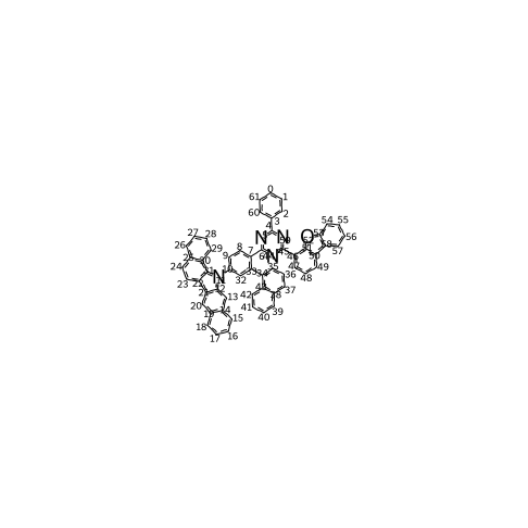 c1ccc(-c2nc(-c3ccc(-n4c5cc6ccccc6cc5c5ccc6ccccc6c54)cc3-c3cccc4ccccc34)nc(-c3cccc4c3oc3ccccc34)n2)cc1